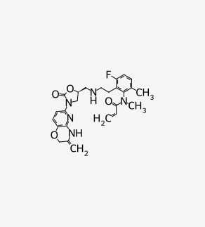 C=CC(=O)N(C)c1c(C)ccc(F)c1CCNC[C@H]1CN(c2ccc3c(n2)NC(=C)CO3)C(=O)O1